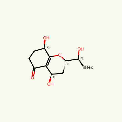 CCCCCC[C@H](O)[C@@H]1C[C@@H](O)C2=C(O1)[C@H](O)CCC2=O